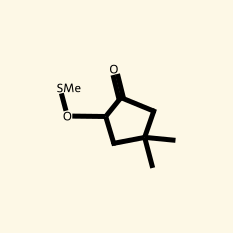 CSOC1CC(C)(C)CC1=O